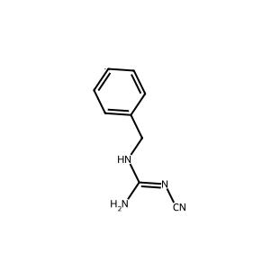 N#CN=C(N)NCc1cc[c]cc1